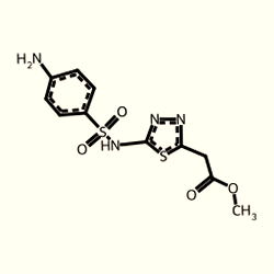 COC(=O)Cc1nnc(NS(=O)(=O)c2ccc(N)cc2)s1